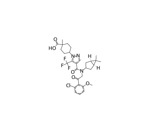 COc1cccc(Cl)c1C(=O)CN(C(=O)c1cnn(C2CCC(C)(C(=O)O)CC2)c1C(F)(F)F)C1C[C@@H]2[C@H](C1)C2(C)C